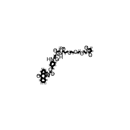 CC(C)C(NC(=O)CCOCCOCCOCCN1C(=O)C=CC1=O)C(=O)NCC(=O)Nc1ccc(COC(=O)n2nc3c4c(cccc42)C(=O)c2ccccc2-3)cc1